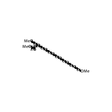 COCCOCCOCCOCCOCCOCCOCCOCCOCCOCCOCCOCCOC(COCCOC)COC(=O)C(C)COC